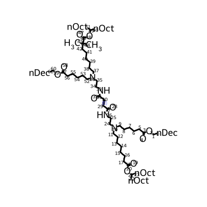 CCCCCCCCCCCOC(=O)CCCCCN(CCCCCCCC(=O)OC(CCCCCCCC)CCCCCCCC)CCNC(=O)/C=C/C(=O)NCCN(CCCCCCC(C)(C)C(=O)OC(CCCCCCCC)CCCCCCCC)CCCCCC(=O)OCCCCCCCCCCC